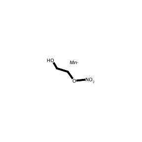 O=[N+]([O-])OCCO.[Mn]